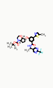 Cc1cnc(-c2cc(O[C@@H]3CC[C@H]4[C@H]3OCCN4C(=O)OC(C)(C)C)cc(C(=O)N[C@H](C)c3cnc(C(F)(F)F)nc3)c2)s1